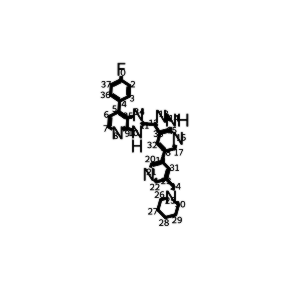 Fc1ccc(-c2ccnc3[nH]c(-c4n[nH]c5ncc(-c6cncc(CN7CCCCC7)c6)cc45)nc23)cc1